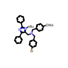 CCCCn1c(-c2ccccc2)nc(-c2ccccc2)c1CN(Cc1ccc(Br)cc1)Cc1ccc(OC)cc1